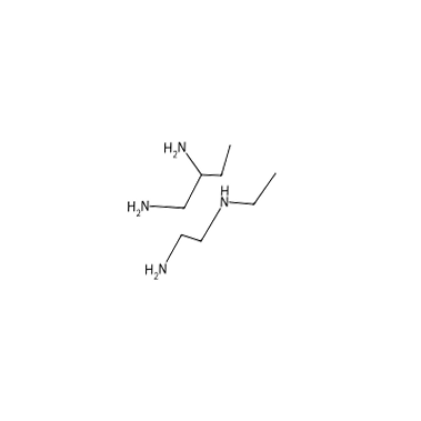 CCC(N)CN.CCNCCN